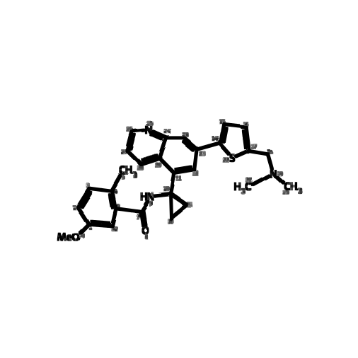 COc1ccc(C)c(C(=O)NC2(c3cc(-c4ccc(CN(C)C)s4)cc4ncccc34)CC2)c1